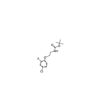 CC(C)(C)OC(=O)NCCOc1ccc(Cl)cc1F